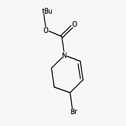 CC(C)(C)OC(=O)N1C=CC(Br)CC1